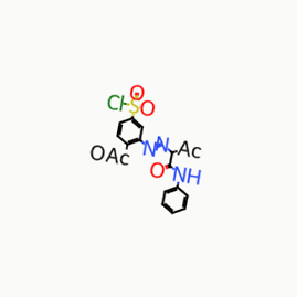 CC(=O)Oc1ccc(S(=O)(=O)Cl)cc1N=NC(C(C)=O)C(=O)Nc1ccccc1